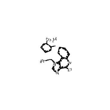 CC(C)Cn1cnc2c(Cl)nc3ccccc3c21.Cc1ccccc1C(=O)O